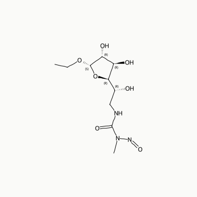 CCO[C@H]1O[C@H]([C@H](O)CNC(=O)N(C)N=O)[C@H](O)[C@H]1O